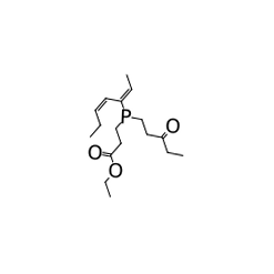 C/C=C(\C=C/CC)P(CCC(=O)CC)CCC(=O)OCC